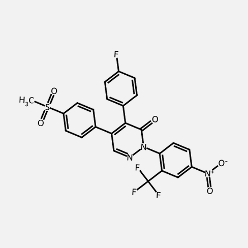 CS(=O)(=O)c1ccc(-c2cnn(-c3ccc([N+](=O)[O-])cc3C(F)(F)F)c(=O)c2-c2ccc(F)cc2)cc1